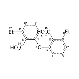 CCc1cccc(Oc2cccc(CC)c2C(=O)O)c1C(=O)O